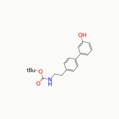 CC(C)(C)OC(=O)NCCc1ccc(-c2cccc(O)c2)cc1